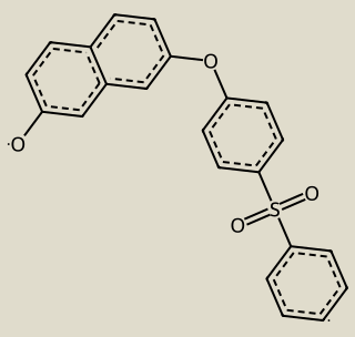 [O]c1ccc2ccc(Oc3ccc(S(=O)(=O)c4cc[c]cc4)cc3)cc2c1